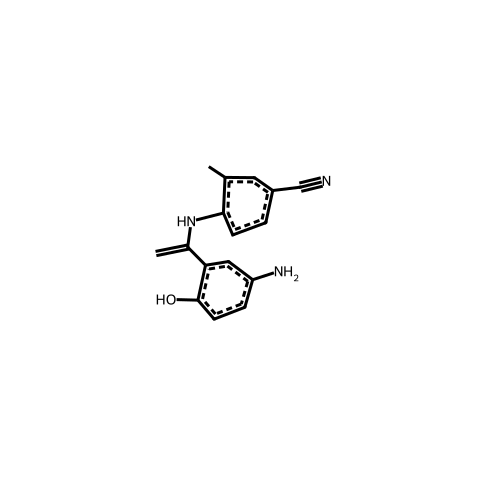 C=C(Nc1ccc(C#N)cc1C)c1cc(N)ccc1O